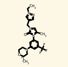 CCn1cc(Cn2cc(C)n(-c3cc(N4CCO[C@@H](C)C4)cc(C(F)(F)F)c3)c2=O)cn1